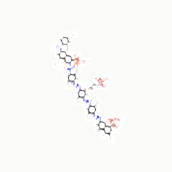 COc1ccc(Nc2ccc3c(O)c(N=Nc4cc(C)c(N=Nc5cc(C)c(N=Nc6cc(C)c(N=Nc7ccc8cc(C)cc(S(=O)(=O)O)c8c7)cc6C)cc5OCCCS(=O)(=O)O)cc4C)c(S(=O)(=O)O)cc3c2)cc1